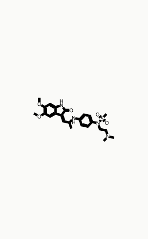 COc1cc2c(cc1OC)C(=CC(C)Nc1ccc(N(CCN(C)C)S(C)(=O)=O)cc1)C(=O)N2